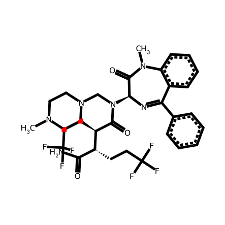 CN1CCN(CN(C(=O)[C@H](CCC(F)(F)F)[C@H](CCC(F)(F)F)C(N)=O)[C@@H]2N=C(c3ccccc3)c3ccccc3N(C)C2=O)CC1